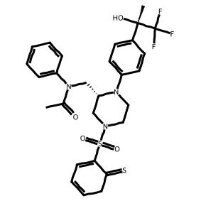 CC(=O)N(C[C@H]1CN(S(=O)(=O)C2=CC=CCC2=S)CCN1c1ccc([C@](C)(O)C(F)(F)F)cc1)c1ccccc1